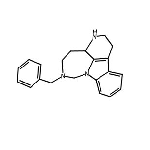 c1ccc(CN2CCC3NCCc4c3n(c3ccccc43)C2)cc1